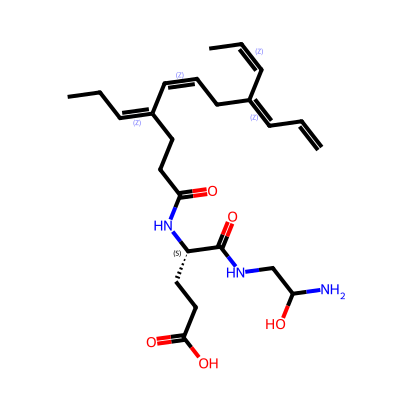 C=C/C=C(\C=C/C)C/C=C\C(=C/CC)CCC(=O)N[C@@H](CCC(=O)O)C(=O)NCC(N)O